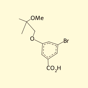 COC(C)(C)COc1cc(Br)cc(C(=O)O)c1